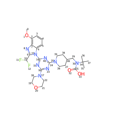 COc1cccc2c1nc(C(F)F)n2-c1nc(N2CCOCC2)nc(N2CCC(CN(C(=O)O)C(C)(C)C)CC2)n1